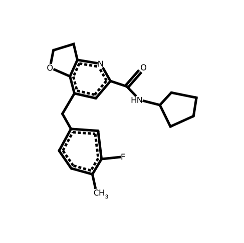 Cc1ccc(Cc2cc(C(=O)NC3CCCC3)nc3c2OCC3)cc1F